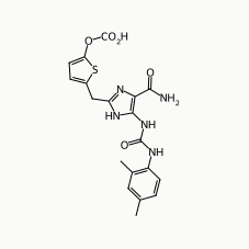 Cc1ccc(NC(=O)Nc2[nH]c(Cc3ccc(OC(=O)O)s3)nc2C(N)=O)c(C)c1